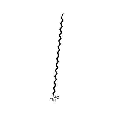 ClCCCCCCCCCCCCCCCCCCCCCCCCCCC[SiH](Cl)Cl